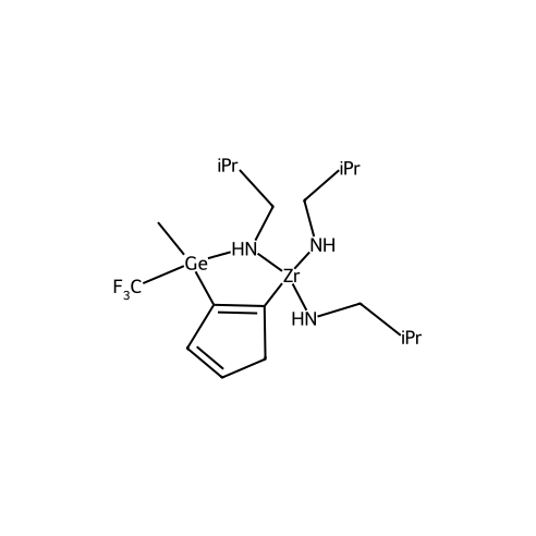 CC(C)C[NH][Zr]([NH]CC(C)C)([NH]CC(C)C)[C]1=[C]([Ge]([CH3])([CH3])[C](F)(F)F)C=CC1